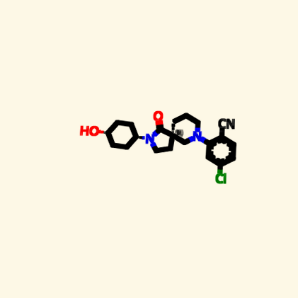 N#Cc1ccc(Cl)cc1N1CCC[C@@]2(CCN([C@H]3CC[C@@H](O)CC3)C2=O)C1